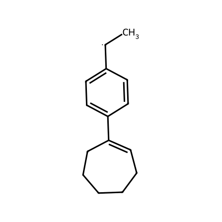 C[CH]c1ccc(C2=CCCCCC2)cc1